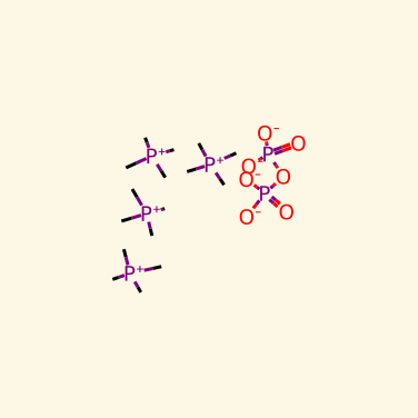 C[P+](C)(C)C.C[P+](C)(C)C.C[P+](C)(C)C.C[P+](C)(C)C.O=P([O-])([O-])OP(=O)([O-])[O-]